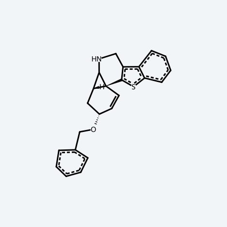 C1=C[C@@]23c4sc5ccccc5c4CNC2[C@H]3C[C@H]1OCc1ccccc1